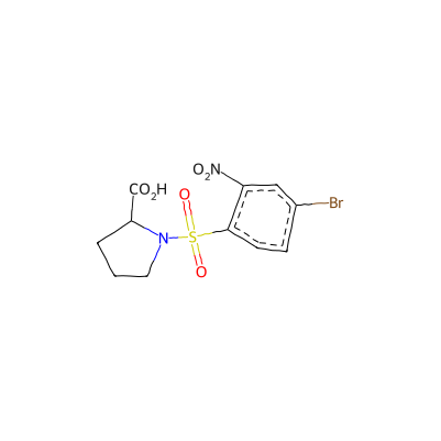 O=C(O)C1CCCN1S(=O)(=O)c1ccc(Br)cc1[N+](=O)[O-]